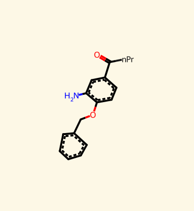 CCCC(=O)c1ccc(OCc2ccccc2)c(N)c1